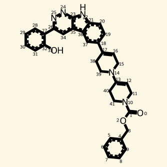 O=C(OCc1ccccc1)N1CC=C(N2CC=C(c3ccc4[nH]c5nnc(-c6ccccc6O)cc5c4c3)CC2)CC1